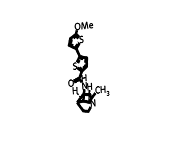 COc1ccc(-c2ccc(C(=O)N[C@@H]3C4CCN(CC4)[C@H]3C)s2)s1